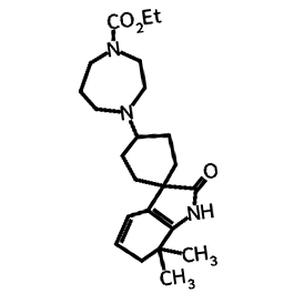 CCOC(=O)N1CCCN(C2CCC3(CC2)C(=O)NC2=C3C=CCC2(C)C)CC1